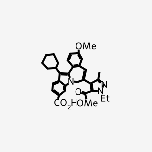 CCn1nc(C)c(C2=Cc3cc(OC)ccc3-c3c(C4CCCCC4)c4ccc(C(=O)O)cc4n3C2)c1C(=O)OC